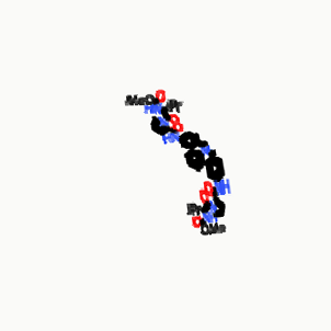 COC(=O)N[C@@H](C(=O)N1CCC[C@H]1C(=O)Nc1ccc(CN(Cc2ccc(NC(=O)[C@@H]3CCCN3C(=O)[C@H](NC(=O)OC)C(C)C)cc2)c2ccccc2)cc1)C(C)C